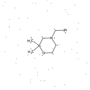 CC(C)CN1CCOC(C)(C)C1